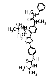 CC(C)NC(=S)Nc1ccc(-c2ncc(-c3ccc(N(C)C(=O)N(C)Cc4ccccc4)cc3[S+]([O-])NC(C)(C)C)s2)cc1